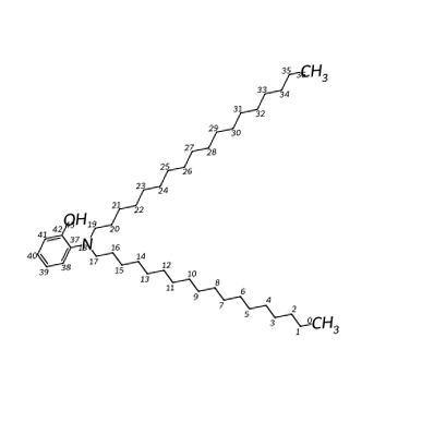 CCCCCCCCCCCCCCCCCCN(CCCCCCCCCCCCCCCCCC)c1ccccc1O